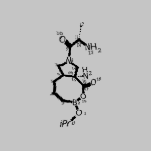 CC(C)OB1CCCC2CN(C(=O)[C@H](C)N)C[C@@]2(N)C(=O)O1